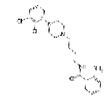 Nc1ccccc1C(=O)NCCCCN1CCN(c2cccc(Cl)c2Cl)CC1